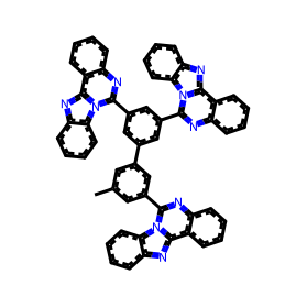 Cc1cc(-c2cc(-c3nc4ccccc4c4nc5ccccc5n34)cc(-c3nc4ccccc4c4nc5ccccc5n34)c2)cc(-c2nc3ccccc3c3nc4ccccc4n23)c1